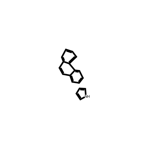 c1cc[nH]c1.c1ccc2c(c1)ccc1ccccc12